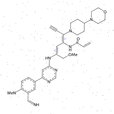 C#C/C(=C(\C=C(/COC)Nc1cc(-c2ccc(NC)c(C=N)c2)ncn1)NC(=O)C=C)N1CCC(N2CCOCC2)CC1